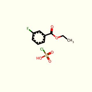 CCOC(=O)c1cccc(F)c1.O=S(=O)(O)Cl